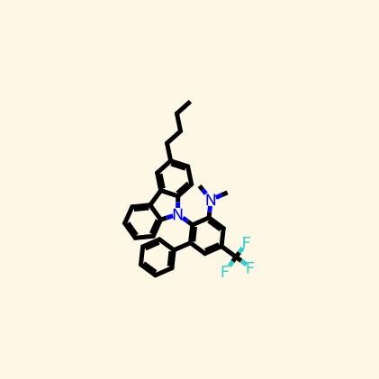 CCCCc1ccc2c(c1)c1ccccc1n2-c1c(-c2ccccc2)cc(C(F)(F)F)cc1N(C)C